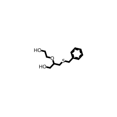 OCCOC(CO)CSCc1ccccc1